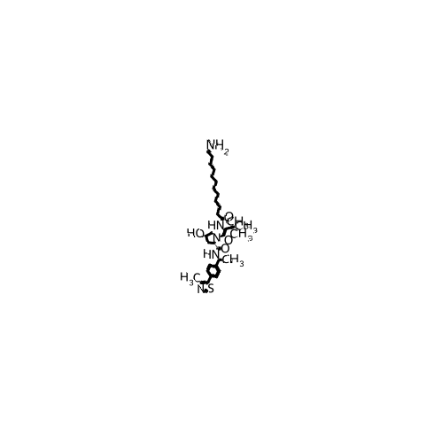 Cc1ncsc1-c1ccc(C(C)NC(=O)[C@@H]2C[C@@H](O)CN2C(=O)C(NC(=O)CCCCCCCCCCCN)C(C)(C)C)cc1